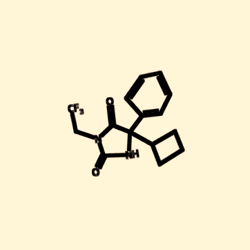 O=C1NC(c2ccccc2)(C2CCC2)C(=O)N1CC(F)(F)F